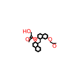 OCC1CC1Oc1ccc2ccccc2c1Cc1c(OCC2CO2)ccc2ccc(OCC3CO3)cc12